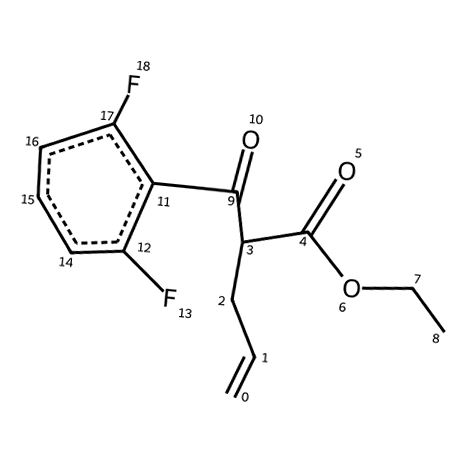 C=CCC(C(=O)OCC)C(=O)c1c(F)cccc1F